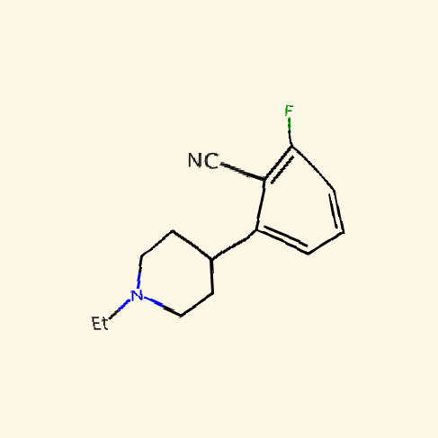 CCN1CCC(c2cccc(F)c2C#N)CC1